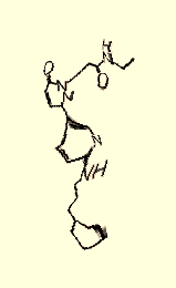 CCNC(=O)Cn1nc(-c2ccc(NCCCC3CCCC3)nc2)ccc1=O